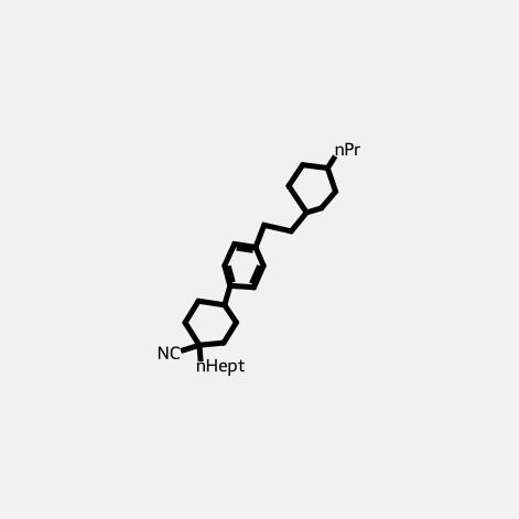 CCCCCCCC1(C#N)CCC(c2ccc(CCC3CCC(CCC)CC3)cc2)CC1